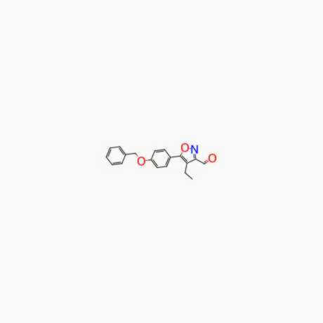 CCc1c(C=O)noc1-c1ccc(OCc2ccccc2)cc1